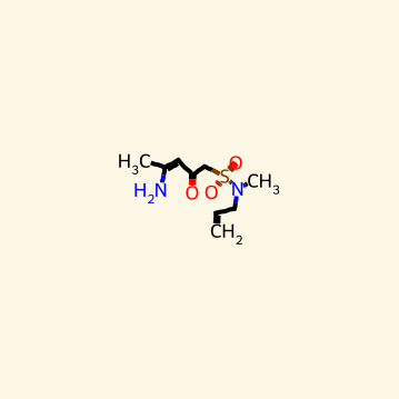 C=CCN(C)S(=O)(=O)CC(=O)C=C(C)N